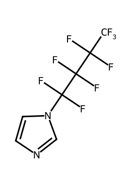 FC(F)(F)C(F)(F)C(F)(F)C(F)(F)n1ccnc1